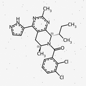 CCC(C)[C@H]1c2nc(C)nc(-c3ccn[nH]3)c2C[C@H](C)N1C(=O)c1cccc(Cl)c1Cl